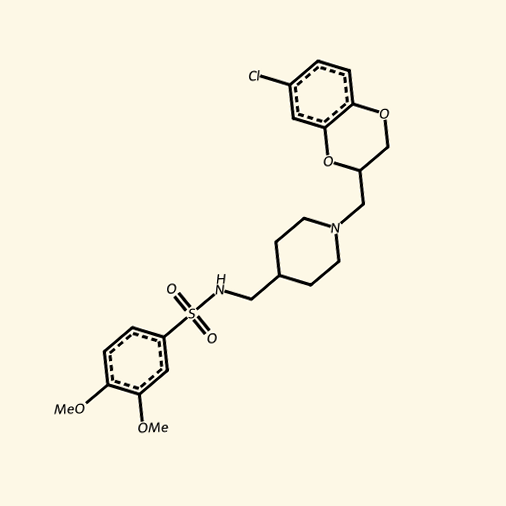 COc1ccc(S(=O)(=O)NCC2CCN(CC3COc4ccc(Cl)cc4O3)CC2)cc1OC